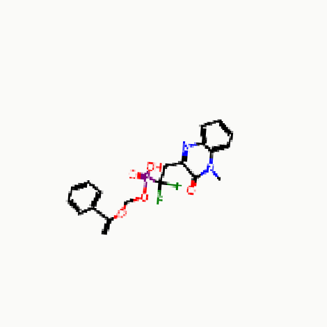 C=C(OCOP(=O)(O)C(F)(F)Cc1nc2ccccc2n(C)c1=O)c1ccccc1